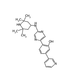 CC1(C)CC(Nc2cnc(-c3ccc(-c4cccnc4)cc3O)cn2)CC(C)(C)N1